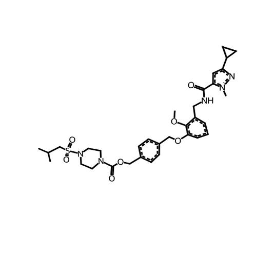 COc1c(CNC(=O)c2cc(C3CC3)nn2C)cccc1OCc1ccc(COC(=O)N2CCN(S(=O)(=O)CC(C)C)CC2)cc1